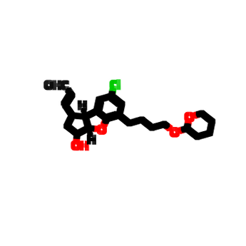 O=CC=CC1CC(O)[C@H]2Oc3c(CCCCOC4CCCCO4)cc(Cl)cc3[C@@H]12